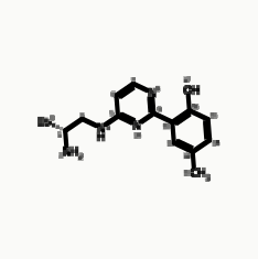 CC[C@@H](N)CNc1ccnc(-c2cc(C)ccc2O)n1